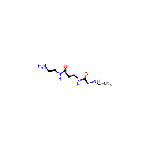 CCNCC(=O)NCCC(=O)NCCN